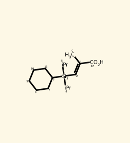 CC(=C[Si](C(C)C)(C(C)C)C1CCCCC1)C(=O)O